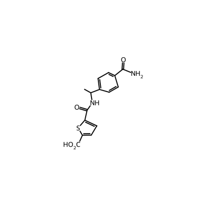 CC(NC(=O)c1ccc(C(=O)O)s1)c1ccc(C(N)=O)cc1